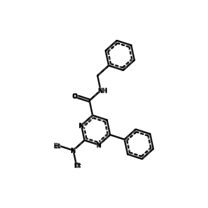 CCN(CC)c1nc(C(=O)NCc2ccccc2)cc(-c2ccccc2)n1